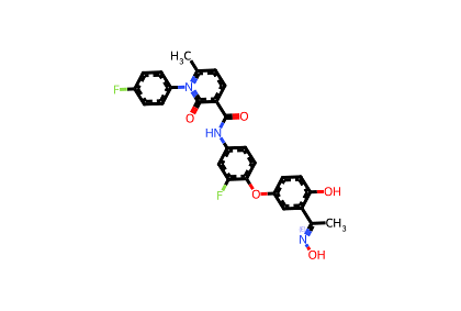 C/C(=N\O)c1cc(Oc2ccc(NC(=O)c3ccc(C)n(-c4ccc(F)cc4)c3=O)cc2F)ccc1O